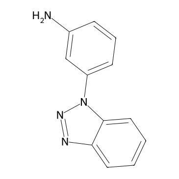 Nc1cccc(-n2nnc3ccccc32)c1